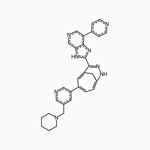 C1=C2CC(=CC(c3cncc(CN4CCCCC4)c3)=C1)C(c1nc3c(-c4ccncc4)cncc3[nH]1)=NN2